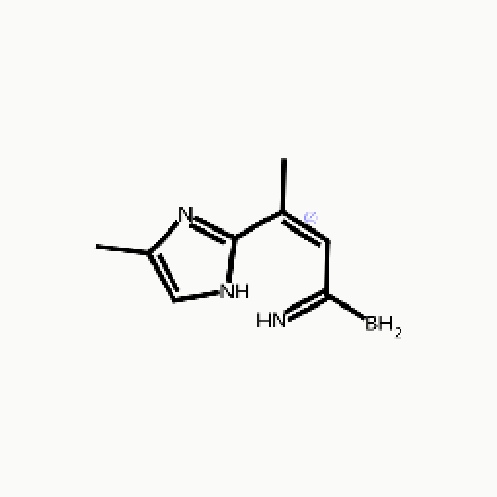 BC(=N)/C=C(/C)c1nc(C)c[nH]1